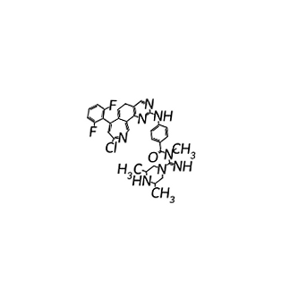 CC1CN(C(=N)N(C)C(=O)c2ccc(Nc3ncc4c(n3)C3=CN=C(Cl)C=C(c5c(F)cccc5F)C3=CC4)cc2)CC(C)N1